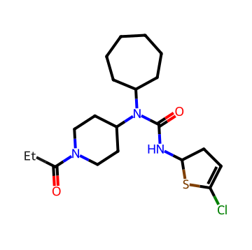 CCC(=O)N1CCC(N(C(=O)NC2CC=C(Cl)S2)C2CCCCCC2)CC1